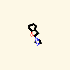 [c]1nccn1-c1cc2ccccc2o1